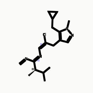 C=N/C(=N\C=C(\Cl)Cc1cnn(C)c1CC1CC1)[C@@H](C)C(C)C